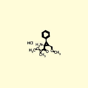 COC[C@@H]1[C@H](c2ccccc2)[C@]1(N)C(=O)N(C)OC.Cl